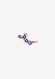 OCCc1ccnc(-c2ccc(Oc3ccc(C(F)(F)F)cc3CN3CCCC3)cc2)n1